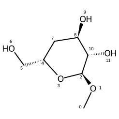 CO[C@H]1O[C@H](CO)C[C@@H](O)[C@@H]1O